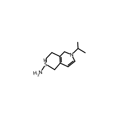 CC(C)N1C=CC2=C(CC[SH](N)C2)C1